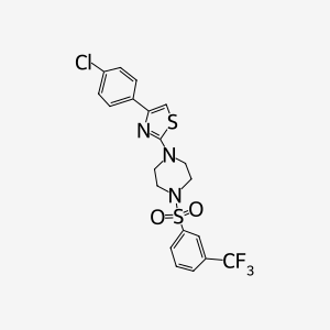 O=S(=O)(c1cccc(C(F)(F)F)c1)N1CCN(c2nc(-c3ccc(Cl)cc3)cs2)CC1